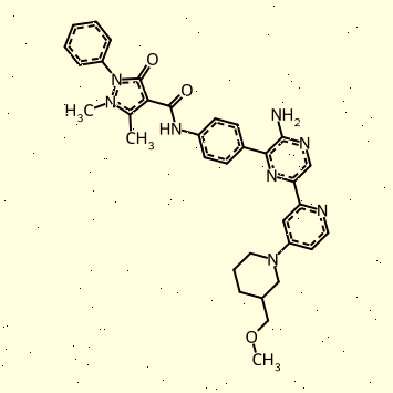 COCC1CCCN(c2ccnc(-c3cnc(N)c(-c4ccc(NC(=O)c5c(C)n(C)n(-c6ccccc6)c5=O)cc4)n3)c2)C1